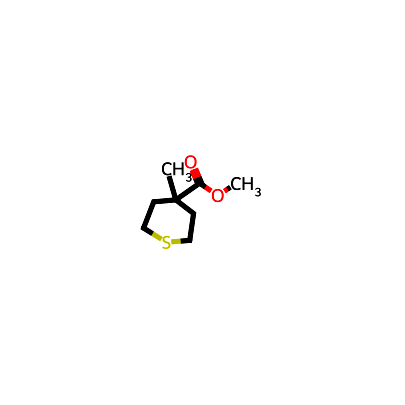 COC(=O)C1(C)CCSCC1